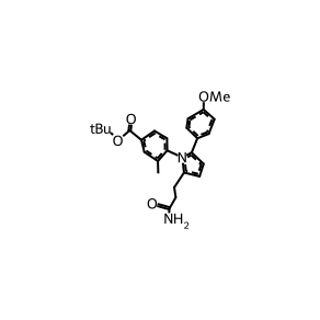 COc1ccc(-c2ccc(CCC(N)=O)n2-c2ccc(C(=O)OC(C)(C)C)cc2C)cc1